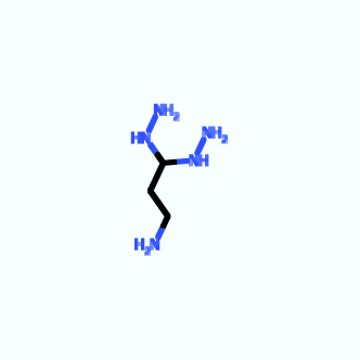 NCCC(NN)NN